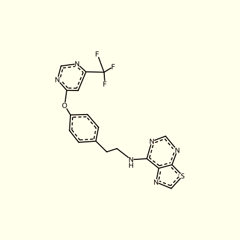 FC(F)(F)c1cc(Oc2ccc(CCNc3ncnc4scnc34)cc2)ncn1